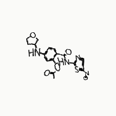 CC(=O)Oc1cc(NC2CCOC2)ccc1C(=O)Nc1ncc(N=O)s1